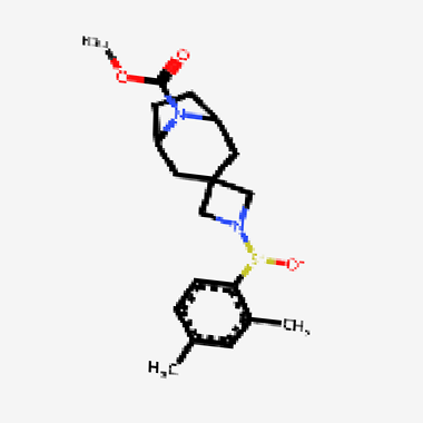 Cc1ccc([S+]([O-])N2CC3(CC4CCC(C3)N4C(=O)OC(C)(C)C)C2)c(C)c1